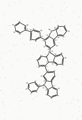 C1=CC2C(C(c3ccc4c5ccccc5n(-c5ccccc5)c4c3)=C1)c1ccccc1N2c1cc(-c2ccc(-c3ccccc3)cc2)c2sc3ccccc3c2c1